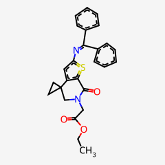 CCOC(=O)CN1CC2(CC2)c2cc(N=C(c3ccccc3)c3ccccc3)sc2C1=O